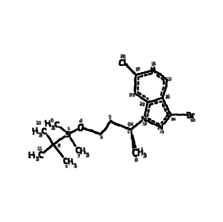 C[C@@H](CCO[Si](C)(C)C(C)(C)C)n1nc(Br)c2cnc(Cl)cc21